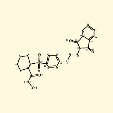 O=C(NO)C1CCCCC1S(=O)(=O)c1ccc(OCCN2C(=O)c3ccccc3C2=O)cc1